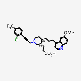 COc1ccc2nccc(CCC[C@@H]3CCN(CC#Cc4ccc(C(F)(F)F)cc4Cl)C[C@@H]3CCC(=O)O)c2c1